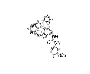 CC(C)(C)c1ccnc(NC(=O)Nc2ccc(-c3c(-c4cnco4)cn4ncnc(N)c34)cc2)c1